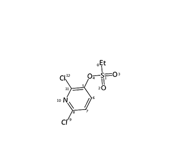 CCS(=O)(=O)Oc1ccc(Cl)nc1Cl